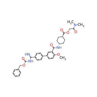 COc1ccc(-c2ccc(C(=N)NC(=O)OCc3ccccc3)cc2)cc1C(=O)N[C@H]1CC[C@H](C(=O)OCC(=O)N(C)C)CC1